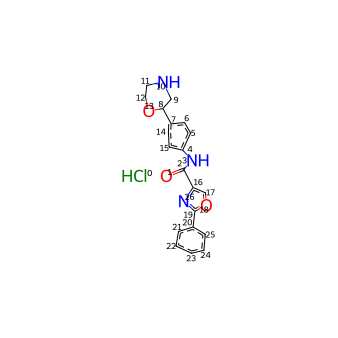 Cl.O=C(Nc1ccc(C2CNCCO2)cc1)c1coc(-c2ccccc2)n1